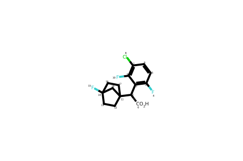 O=C(O)C(c1c(F)ccc(Cl)c1F)C12CCC(F)(CC1)C2